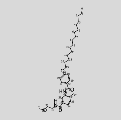 CCCCCCCCCCCCCCCCOc1ccc(C(=O)Nc2cc(C(=O)NCCOC)ccc2C)cc1